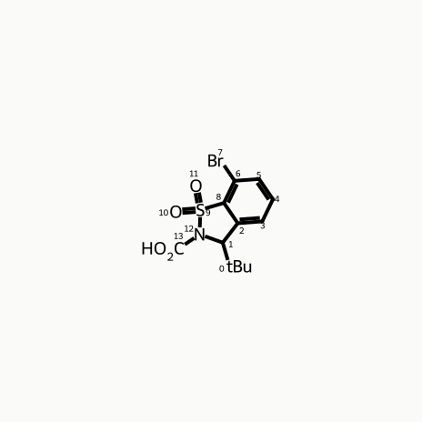 CC(C)(C)C1c2cccc(Br)c2S(=O)(=O)N1C(=O)O